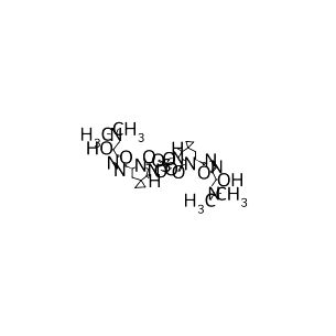 CN(C)C[C@H](O)c1nnc([C@@H]2CC3(CC3)[C@@H]3CN2C(=O)N3OS(=O)(=O)ON2C(=O)N3C[C@H]2C2(CC2)C[C@H]3c2nnc([C@@H](O)CN(C)C)o2)o1